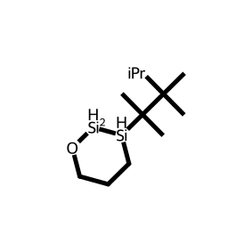 CC(C)C(C)(C)C(C)(C)[SiH]1CCCO[SiH2]1